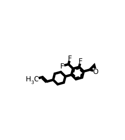 C/C=C/C1CCC(c2ccc(C3CO3)c(F)c2C(F)F)CC1